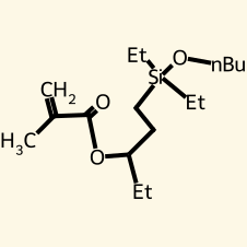 C=C(C)C(=O)OC(CC)CC[Si](CC)(CC)OCCCC